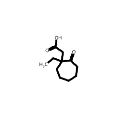 CCC1(CC(=O)O)CCCCCC1=O